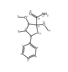 COC1N(C)C(c2ccncc2)SC1(OC)C(N)=O